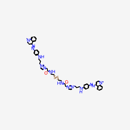 C[n+]1ccc(/N=N/c2ccc(NCCC[n+]3ccn(CC(=O)NCCSSCCNC(=O)Cn4cc[n+](CCCNc5ccc(/N=N/c6cc[n+](C)c7ccccc67)cc5)c4)c3)cc2)c2ccccc21